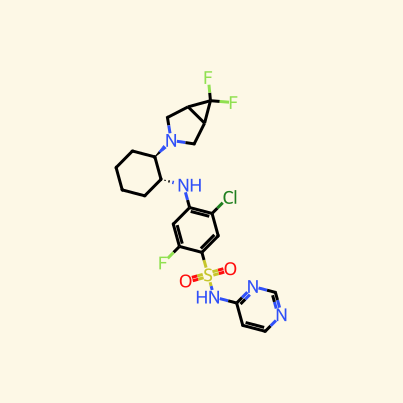 O=S(=O)(Nc1ccncn1)c1cc(Cl)c(N[C@@H]2CCCC[C@H]2N2CC3C(C2)C3(F)F)cc1F